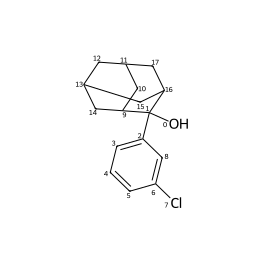 OC1(c2cccc(Cl)c2)C2CC3CC(C2)CC1C3